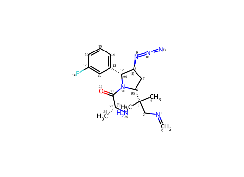 C=NCC(C)(C)[C@H]1C[C@H](N=[N+]=[N-])[C@@H](c2cccc(F)c2)N1C(=O)[C@@H](C)N